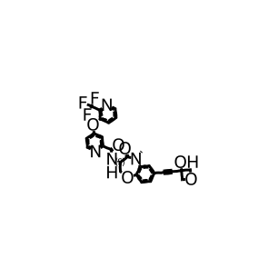 CN1C(=O)[C@@H](NC(=O)c2cc(Oc3cccnc3C(F)(F)F)ccn2)COc2ccc(C#CC3(O)COC3)cc21